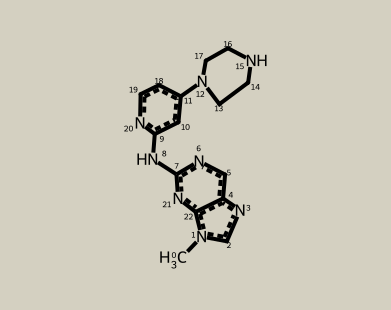 Cn1cnc2cnc(Nc3cc(N4CCNCC4)ccn3)nc21